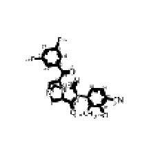 Cc1c(N2C(=O)C3CN4CC(C(=O)c5cc(F)cc(F)c5)[N+]3(C4)C2=O)ccc(C#N)c1Cl